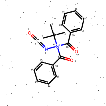 CC(C)(C)[N+](N=C=O)(C(=O)c1ccccc1)C(=O)c1ccccc1